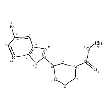 CC(C)(C)OC(=O)N1CCOC(c2nc3cc(Br)cnc3[nH]2)C1